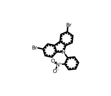 O=[N+]([O-])c1ccccc1-n1c2ccc(Br)cc2c2cc(Br)ccc21